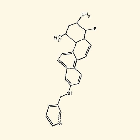 CC1CC(C)C2c3ccc4cc(NCc5cccnc5)ccc4c3C=CC2C1F